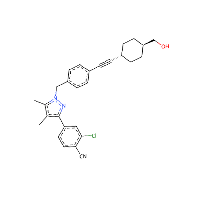 Cc1c(-c2ccc(C#N)c(Cl)c2)nn(Cc2ccc(C#C[C@H]3CC[C@H](CO)CC3)cc2)c1C